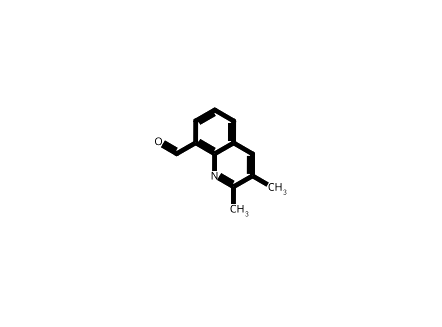 Cc1cc2cccc(C=O)c2nc1C